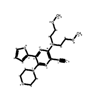 [C-]#[N+]c1nc(N2CCOCC2)c(-c2ccco2)nc1N(CCOC)CCOC